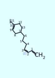 C=C/C=C\CCCC1CC=C(I)CC1